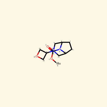 CC(C)(C)OC(=O)N1C2CCC1CN(C1COC1)C2